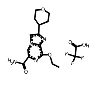 CCOc1nc(C(N)=O)cn2cc(C3CCOCC3)nc12.O=C(O)C(F)(F)F